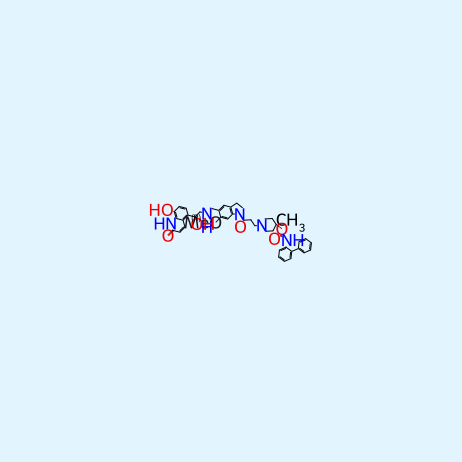 COc1cc2c(cc1CNC[C@H](O)c1ccc(O)c3[nH]c(=O)ccc13)CCN2C(=O)CCN1CCC(C)(OC(=O)Nc2ccccc2-c2ccccc2)CC1